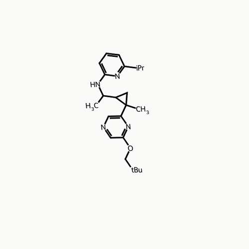 CC(C)c1cccc(NC(C)C2CC2(C)c2cncc(OCC(C)(C)C)n2)n1